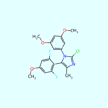 COc1cc(OC)cc(-n2c(Cl)nc(C)c2-c2c(F)cc(OC)cc2F)c1